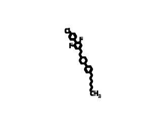 CCCCCCCc1ccc(C2CCC(CCc3cc(F)c(-c4ccc(Cl)cc4)c(F)c3)CC2)cc1